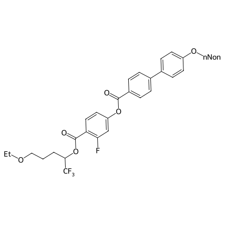 CCCCCCCCCOc1ccc(-c2ccc(C(=O)Oc3ccc(C(=O)OC(CCCOCC)C(F)(F)F)c(F)c3)cc2)cc1